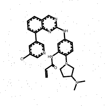 C=CC(=O)Nc1cc(Nc2ncc3cccc(-c4cncc(Cl)c4)c3n2)ccc1N1CCC(N(C)C)C1